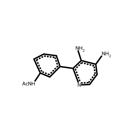 CC(=O)Nc1cccc(-c2nccc(N)c2N)c1